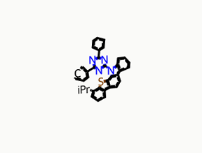 CC(C)c1cccc2c1sc1c2ccc2c3ccccc3n(-c3nc(-c4ccccc4)nc(-c4ccccc4)n3)c21